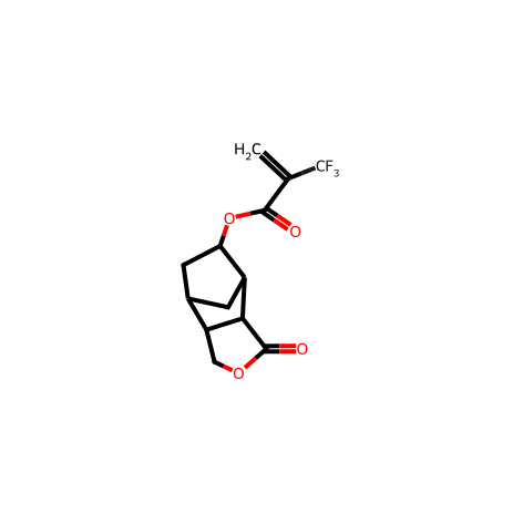 C=C(C(=O)OC1CC2CC1C1C(=O)OCC21)C(F)(F)F